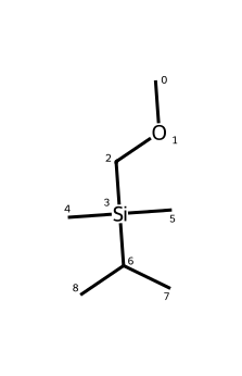 COC[Si](C)(C)C(C)C